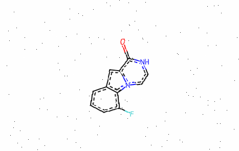 O=c1[nH]ccn2c1cc1cccc(F)c12